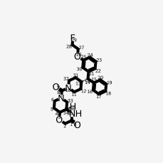 O=C1COC2CCN(C(=O)N3CCC([C@@H](c4ccccc4)c4cccc(OCCF)c4)CC3)C[C@H]2N1